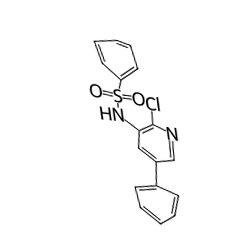 O=S(=O)(Nc1cc(-c2ccccc2)cnc1Cl)c1ccccc1